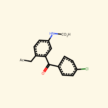 CC(=O)Cc1ccc(NC(=O)O)cc1C(=O)c1ccc(Cl)cc1